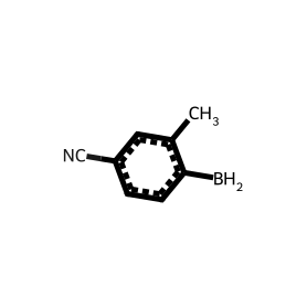 Bc1ccc(C#N)cc1C